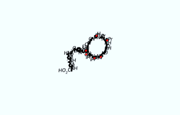 CC[C@@H]1NC(=O)[C@H]([C@H](O)[C@H](C)Cc2nc3cc(C(=O)N[C@@H](C)C(=O)NC(C)C(=O)C[C@@H](C)C(=O)NC(C)C(=O)C[C@@H](C)C(=O)NC(C)C(=O)O)ccc3[nH]2)N(C)C(=O)[C@H](C(C)C)N(C)C(=O)[C@H](CC(C)C)N(C)C(=O)[C@H](CC(C)C)N(C)C(=O)[C@@H](C)NC(=O)[C@H](C)NC(=O)[C@H](CC(C)C)N(C)C(=O)[C@H](C(C)C)NC(=O)[C@H](CC(C)C)N(C)C(=O)CN(C)C1=O